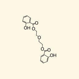 O=C(OCCOCCOC(=O)c1ccccc1O)c1ccccc1O